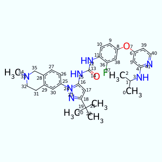 CC(C)Nc1cc(Oc2ccc(NC(=O)Nc3cc(C(C)(C)C)nn3-c3ccc4c(c3)CCN(C)C4)c(F)c2)ccn1